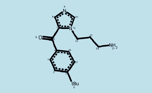 CC(C)(C)c1ccc(C(=O)c2cncn2CCCN)cc1